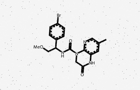 COCC(NC(=O)N1CC(=O)Nc2cc(C)cnc21)c1ccc(Br)cc1